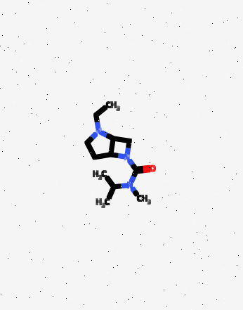 CCN1CCC2C1CN2C(=O)N(C)C(C)C